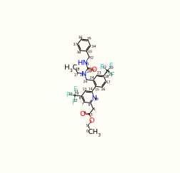 CCOC(=O)Cc1cc(C(F)(F)F)cc(-c2ccc(C(F)(F)F)cc2CN(CC)C(=O)NCc2ccccc2)n1